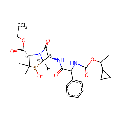 CC(OC(=O)NC(C(=O)N[C@@H]1C(=O)N2[C@@H]1[S+]([O-])C(C)(C)[C@@H]2C(=O)OCC(Cl)(Cl)Cl)c1ccccc1)C1CC1